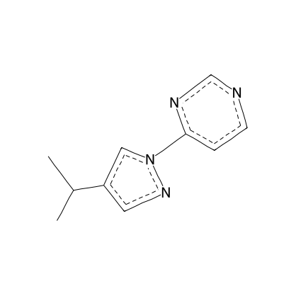 CC(C)c1cnn(-c2ccncn2)c1